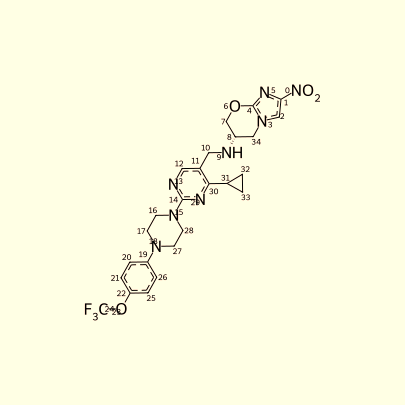 O=[N+]([O-])c1cn2c(n1)OC[C@@H](NCc1cnc(N3CCN(c4ccc(OC(F)(F)F)cc4)CC3)nc1C1CC1)C2